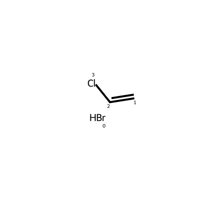 Br.C=CCl